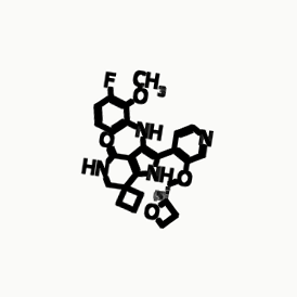 COc1c(F)cccc1Nc1c(-c2ccncc2OC[C@@H]2CCO2)[nH]c2c1C(=O)NCC21CCC1